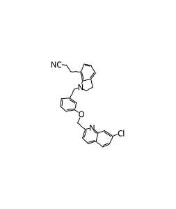 N#CCCc1cccc2c1N(Cc1cccc(OCc3ccc4ccc(Cl)cc4n3)c1)CC2